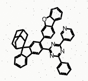 c1ccc(-c2nc(-c3cccnc3)nc(-c3cc4c(cc3-c3ccc5c(c3)oc3ccccc35)C3(c5ccccc5-4)C4CC5CC(C4)CC3C5)n2)cc1